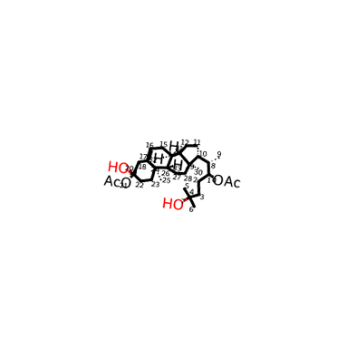 CC(=O)OC(CCC(C)(C)O)[C@@H](C)[C@H]1CC[C@H]2[C@@H]3CC=C4CC(O)(OC(C)=O)CC[C@]4(C)[C@H]3CC[C@]12C